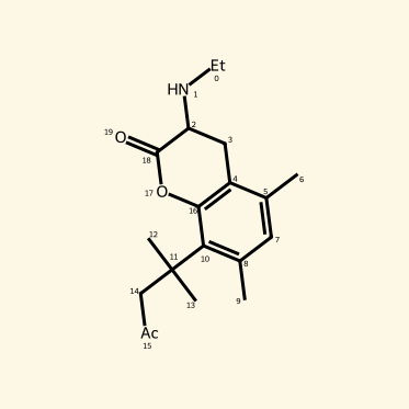 CCNC1Cc2c(C)cc(C)c(C(C)(C)CC(C)=O)c2OC1=O